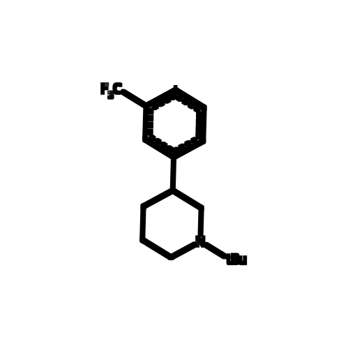 CC(C)(C)N1CCCC(c2cc[c]c(C(F)(F)F)c2)C1